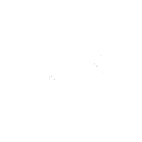 CN(C)C1CCc2[nH]c3c(F)cccc3c2C1.CS(=O)(=O)O